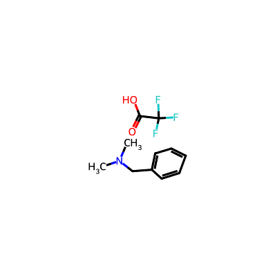 CN(C)Cc1ccccc1.O=C(O)C(F)(F)F